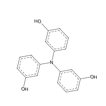 Oc1cccc(N(c2cccc(O)c2)c2cccc(O)c2)c1